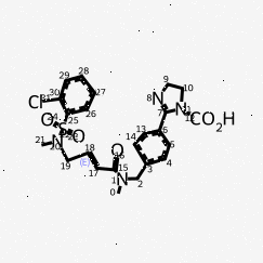 CN(Cc1ccc(C2=NCCN2C(=O)O)cc1)C(=O)/C=C/CN(C)S(=O)(=O)c1ccccc1Cl